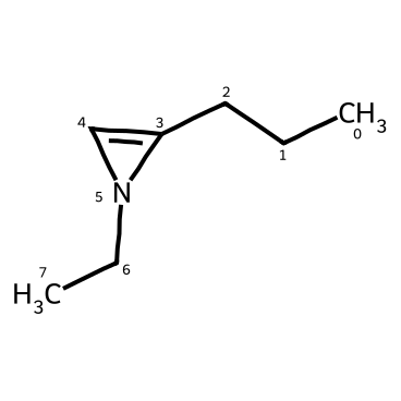 CCCC1=CN1CC